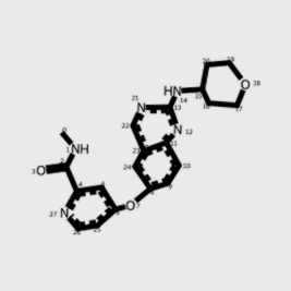 CNC(=O)c1cc(Oc2ccc3nc(NC4CCOCC4)ncc3c2)ccn1